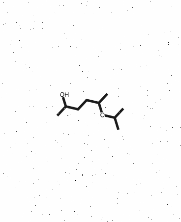 CC(O)CCC(C)OC(C)C